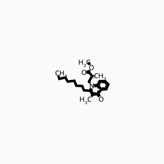 CCCCCCCCc1c(C)c(=O)c2ccccc2n1C[C@@H](C)C(=O)OC